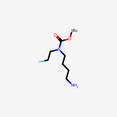 CC(C)(C)OC(=O)N(CCF)CCCCN